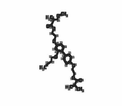 C=C(C)C(=O)OCCOc1ccc(-c2ccc(OCCOC(=O)C(=C)COC)cc2OCCCC)cc1